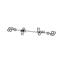 O=C(NCCCCCCCCCCCCNC(=O)NCCCCCCOCc1ccc2ccc3cccc4ccc1c2c34)NCCCCCCOCc1ccc2ccc3cccc4ccc1c2c34